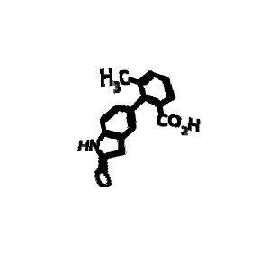 Cc1cccc(C(=O)O)c1-c1ccc2c(c1)CC(=O)N2